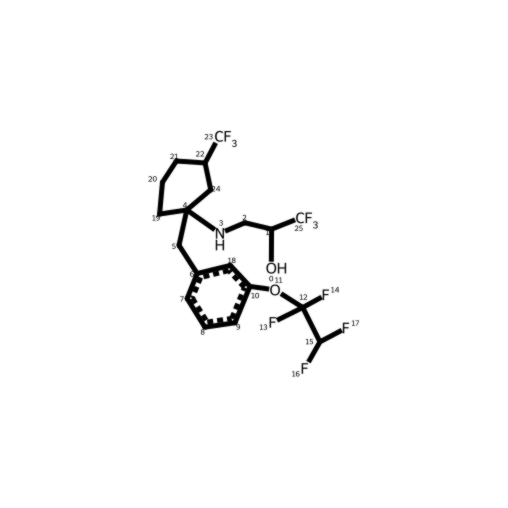 OC(CNC1(Cc2cccc(OC(F)(F)C(F)F)c2)CCCC(C(F)(F)F)C1)C(F)(F)F